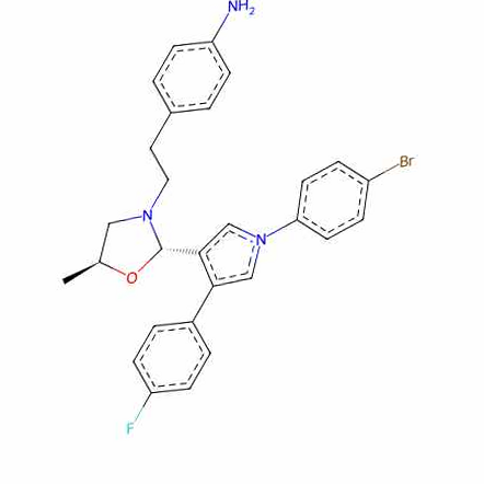 C[C@H]1CN(CCc2ccc(N)cc2)[C@H](c2cn(-c3ccc(Br)cc3)cc2-c2ccc(F)cc2)O1